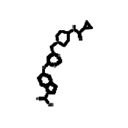 O=C(NC1CCN(Cc2cc(Oc3ccc4c(ccn4C(=O)O)c3)ncn2)CC1)C1CC1